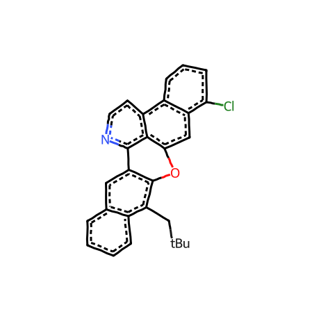 CC(C)(C)Cc1c2c(cc3ccccc13)-c1nccc3c1c(cc1c(Cl)cccc13)O2